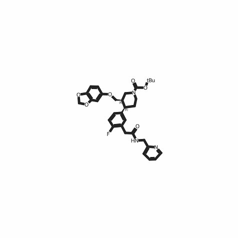 CC(C)(C)OC(=O)N1CC[C@@H](c2ccc(F)c(CC(=O)NCc3ccccn3)c2)[C@@H](COc2ccc3c(c2)OCO3)C1